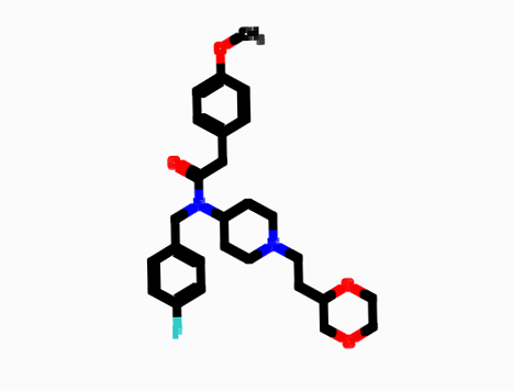 COc1ccc(CC(=O)N(Cc2ccc(F)cc2)C2CCN(CCC3COCCO3)CC2)cc1